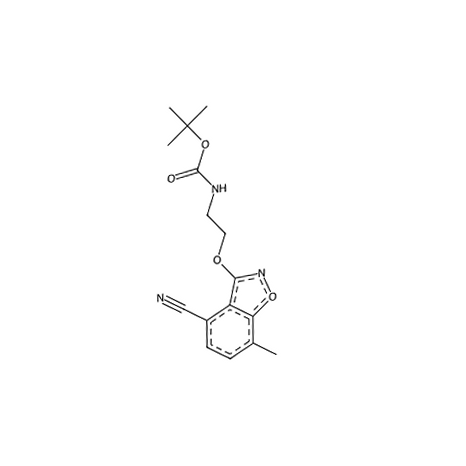 Cc1ccc(C#N)c2c(OCCNC(=O)OC(C)(C)C)noc12